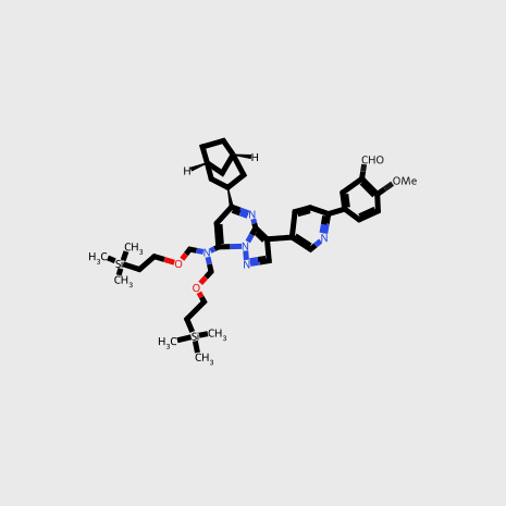 COc1ccc(-c2ccc(-c3cnn4c(N(COCC[Si](C)(C)C)COCC[Si](C)(C)C)cc([C@H]5C[C@@H]6CC[C@@H](C6)C5)nc34)cn2)cc1C=O